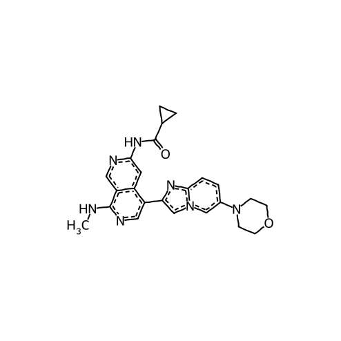 CNc1ncc(-c2cn3cc(N4CCOCC4)ccc3n2)c2cc(NC(=O)C3CC3)ncc12